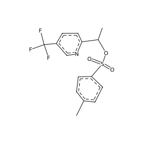 Cc1ccc(S(=O)(=O)OC(C)c2ccc(C(F)(F)F)cn2)cc1